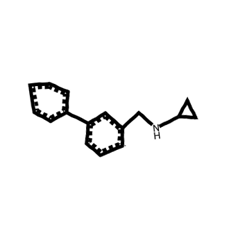 [c]1ccc(-c2ccccc2)cc1CNC1CC1